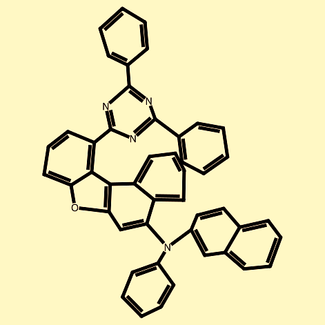 c1ccc(-c2nc(-c3ccccc3)nc(-c3cccc4oc5cc(N(c6ccccc6)c6ccc7ccccc7c6)c6ccccc6c5c34)n2)cc1